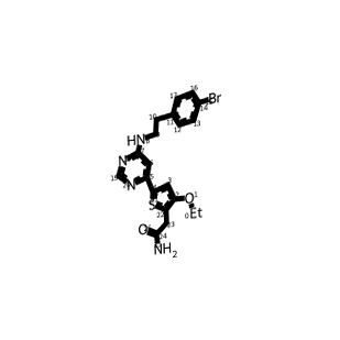 CCOc1cc(-c2cc(NCCc3ccc(Br)cc3)ncn2)sc1CC(N)=O